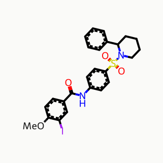 COc1ccc(C(=O)Nc2ccc(S(=O)(=O)N3CCCCC3c3ccccc3)cc2)cc1I